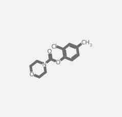 Cc1ccc(OC(=O)N2CCOCC2)c(Cl)c1